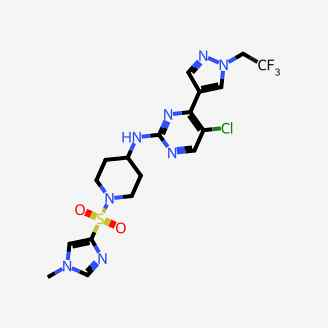 Cn1cnc(S(=O)(=O)N2CCC(Nc3ncc(Cl)c(-c4cnn(CC(F)(F)F)c4)n3)CC2)c1